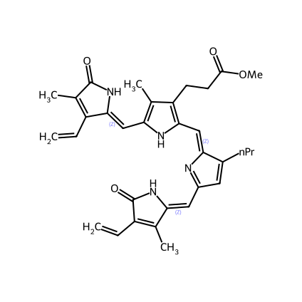 C=CC1=C(C)/C(=C/C2=NC(=C\c3[nH]c(/C=C4\NC(=O)C(C)=C4C=C)c(C)c3CCC(=O)OC)/C(CCC)=C2)NC1=O